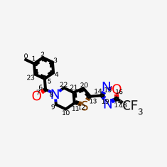 Cc1cccc(C(=O)N2CCc3sc(-c4noc(C(F)(F)F)n4)cc3C2)c1